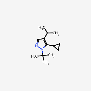 CC(C)c1cnn(C(C)(C)C)c1C1CC1